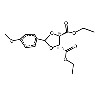 CCOC(=O)[C@@H]1OC(c2ccc(OC)cc2)O[C@H]1C(=O)OCC